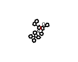 c1ccc(C2(c3ccccc3)c3ccccc3-c3c(N(c4cccc(-c5cccc6ccccc56)c4)c4ccccc4-c4ccc5oc6ccccc6c5c4)cccc32)cc1